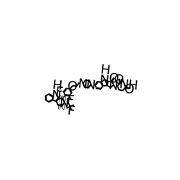 C[C@@H]1Cc2c([nH]c3ccccc23)[C@@H](c2c(F)cc(OCCN3CCN(c4ccc5c6c([nH]c5c4)C(=O)N(C4CCC(=O)NC4=O)C6)CC3)cc2F)N1CC(C)(C)F